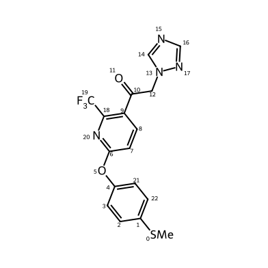 CSc1ccc(Oc2ccc(C(=O)Cn3cncn3)c(C(F)(F)F)n2)cc1